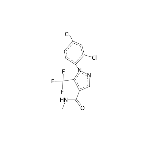 CNC(=O)c1cnn(-c2ccc(Cl)cc2Cl)c1C(F)(F)F